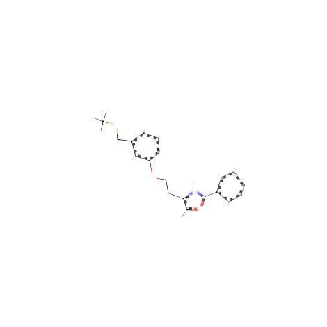 Cc1oc(-c2ccccc2)nc1CCOc1cccc(CSC(C)(C)C(=O)O)c1